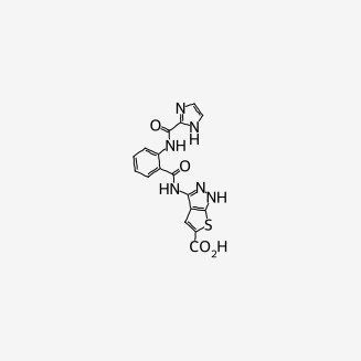 O=C(Nc1ccccc1C(=O)Nc1n[nH]c2sc(C(=O)O)cc12)c1ncc[nH]1